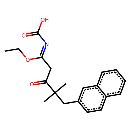 CCOC(CC(=O)C(C)(C)Cc1ccc2ccccc2c1)=NC(=O)O